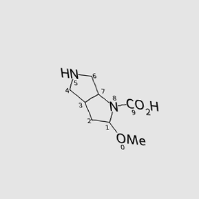 COC1CC2CNCC2N1C(=O)O